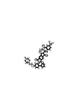 CN1CCN(CCOc2ccc(C3=CC=CC3)c(N3C(=O)c4cc5c(cc4C3=O)C(=O)C(c3nc4ccc(N(C)C)cc4c(=O)[nH]3)C5=O)c2)CC1